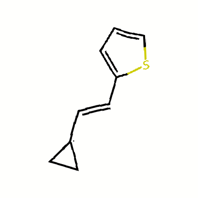 C(=Cc1cccs1)[C]1CC1